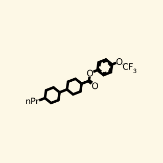 CCCC1CCC(C2CCC(C(=O)Oc3ccc(OC(F)(F)F)cc3)CC2)CC1